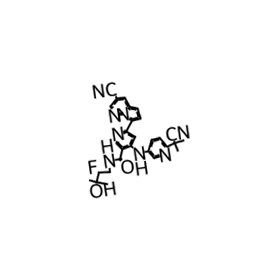 CC(C)(C#N)c1ccc(Nc2cc(-c3ccc4cc(C#N)cnn34)ncc2C(=O)NC[C@@H](F)C(C)(C)O)cn1